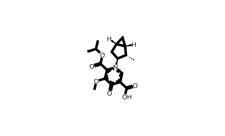 COc1c(C(=O)OC(C)C)n([C@H]2C[C@@H]3C[C@@H]3[C@@H]2C)cc(C(=O)O)c1=O